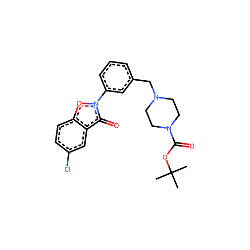 CC(C)(C)OC(=O)N1CCN(Cc2cccc(-n3oc4ccc(Cl)cc4c3=O)c2)CC1